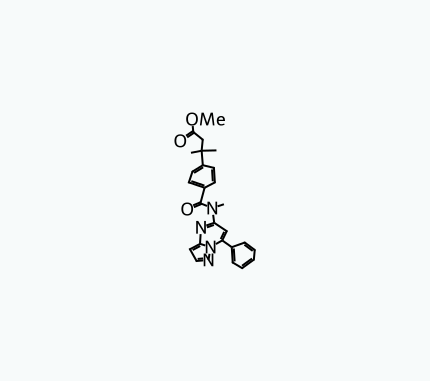 COC(=O)CC(C)(C)c1ccc(C(=O)N(C)c2cc(-c3ccccc3)n3nccc3n2)cc1